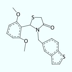 COc1cccc(OC)c1C1SCC(=O)N1Cc1ccc2sccc2c1